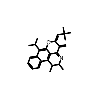 C=C1C2=NC(C)C(C)c3c2c(c(C(C)C)c2ccccc32)O/C1=C/C(C)(C)C